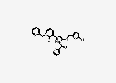 O=C(c1ccco1)n1nc(-c2cccn(Cc3ccccn3)c2=O)cc1NCc1ccc(Cl)s1